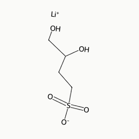 O=S(=O)([O-])CCC(O)CO.[Li+]